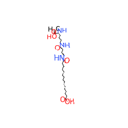 CN[C@@H](CCCCNC(=O)CCCNC(=O)CCCCCCCCCCCCCCC(=O)O)C(=O)O